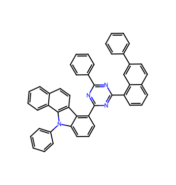 c1ccc(-c2ccc3cccc(-c4nc(-c5ccccc5)nc(-c5cccc6c5c5ccc7ccccc7c5n6-c5ccccc5)n4)c3c2)cc1